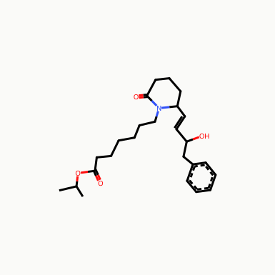 CC(C)OC(=O)CCCCCCN1C(=O)CCCC1C=CC(O)Cc1ccccc1